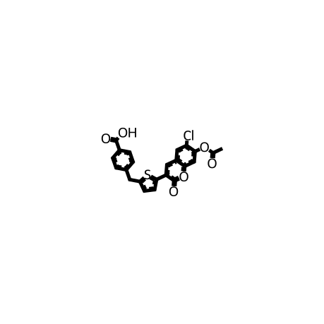 CC(=O)Oc1cc2oc(=O)c(-c3ccc(Cc4ccc(C(=O)O)cc4)s3)cc2cc1Cl